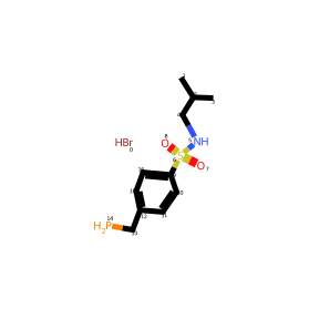 Br.CC(C)CNS(=O)(=O)c1ccc(CP)cc1